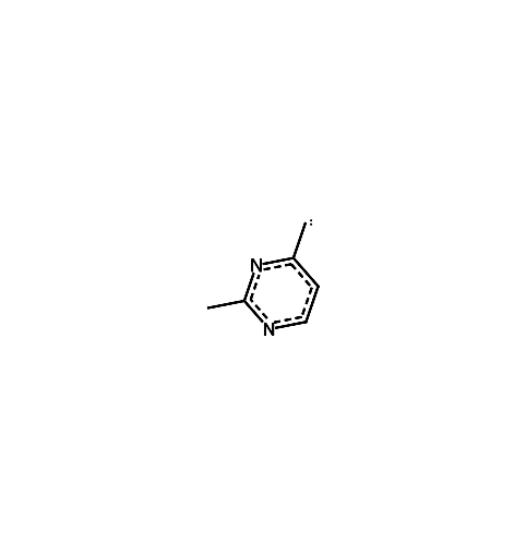 [CH]c1ccnc(C)n1